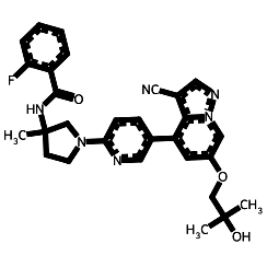 CC(C)(O)COc1cc(-c2ccc(N3CCC(C)(NC(=O)c4ccccc4F)C3)nc2)c2c(C#N)cnn2c1